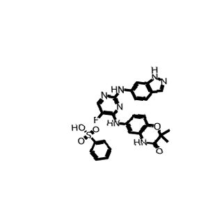 CC1(C)Oc2ccc(Nc3nc(Nc4ccc5cn[nH]c5c4)ncc3F)cc2NC1=O.O=S(=O)(O)c1ccccc1